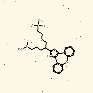 CN(C)CCOC(COCC[Si](C)(C)C)c1nc2c([nH]1)-c1ccccc1Sc1ccccc1-2